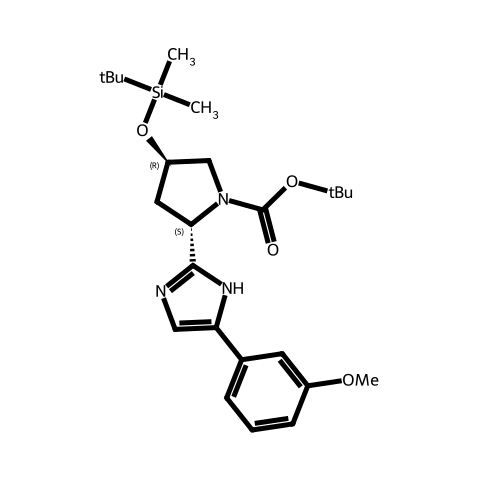 COc1cccc(-c2cnc([C@@H]3C[C@@H](O[Si](C)(C)C(C)(C)C)CN3C(=O)OC(C)(C)C)[nH]2)c1